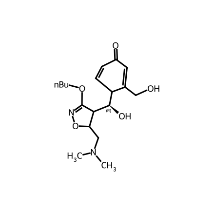 CCCCOC1=NOC(CN(C)C)C1[C@H](O)C1C=CC(=O)C=C1CO